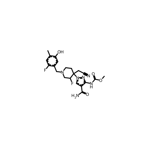 COC(=O)Nc1nn(C2(CC#N)CCN(Cc3cc(O)c(C)cc3F)CC2F)cc1C(N)=O